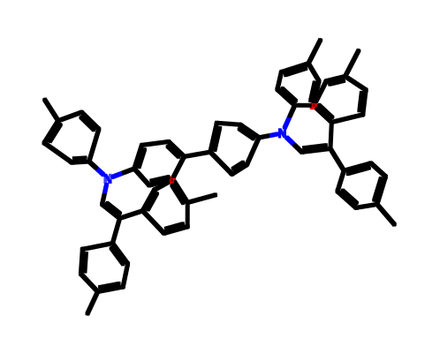 Cc1ccc(C(=CN(c2ccc(C)cc2)c2ccc(-c3ccc(N(C=C(c4ccc(C)cc4)c4ccc(C)cc4)c4ccc(C)cc4)cc3)cc2)c2ccc(C)cc2)cc1